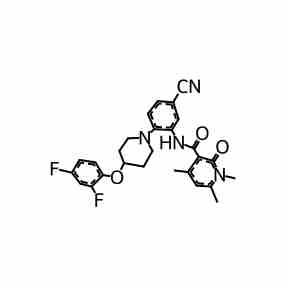 Cc1cc(C)n(C)c(=O)c1C(=O)Nc1cc(C#N)ccc1N1CCC(Oc2ccc(F)cc2F)CC1